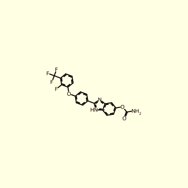 NC(=O)Oc1ccc2[nH]c(-c3ccc(Oc4cccc(C(F)(F)F)c4F)cc3)nc2c1